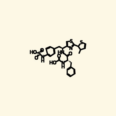 CC1C=CSC1c1nc([C@H](Cc2ccc(NS(=O)(=O)O)cc2)NC(=O)[C@H](Cc2ccccc2)NC(=O)O)cs1